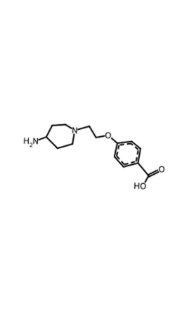 NC1CCN(CCOc2ccc(C(=O)O)cc2)CC1